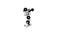 Cc1cccc(-n2nc(C3CCC3)cc2NC(=O)Nc2ccc(Oc3ccnc(C(N)=O)c3)cc2)c1